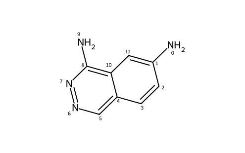 Nc1ccc2cnnc(N)c2c1